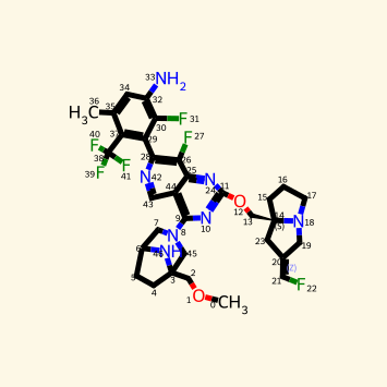 COCC12CCC(CN(c3nc(OC[C@@]45CCCN4C/C(=C\F)C5)nc4c(F)c(-c5c(F)c(N)cc(C)c5C(F)(F)F)ncc34)C1)N2